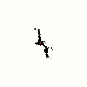 COCCOCCOCCOCCOc1ccc(C2=CN(C=O)C(/C=N\c3cc(OCCCCCOc4cc5c(cc4OC)C(=O)N4C=C(c6ccc(N)cc6)C[C@H]4C=N5)c(OC)cc3C)C2)cc1